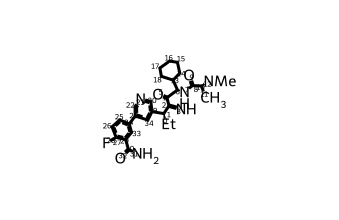 CC[C@H](C(=N)C(=O)[C@@H](NC(=O)[C@H](C)NC)C1CCCCC1)c1cncc(-c2ccc(F)c(C(N)=O)c2)c1